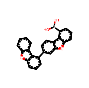 OB(O)c1cccc2oc3cc(-c4cccc5oc6ccccc6c45)ccc3c12